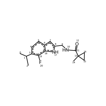 CC(C)c1ccc2cc(CNC(=O)C3(C)CC3)[nH]c2c1F